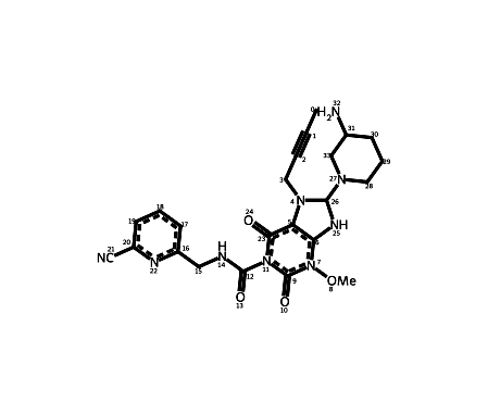 CC#CCN1c2c(n(OC)c(=O)n(C(=O)NCc3cccc(C#N)n3)c2=O)NC1N1CCCC(N)C1